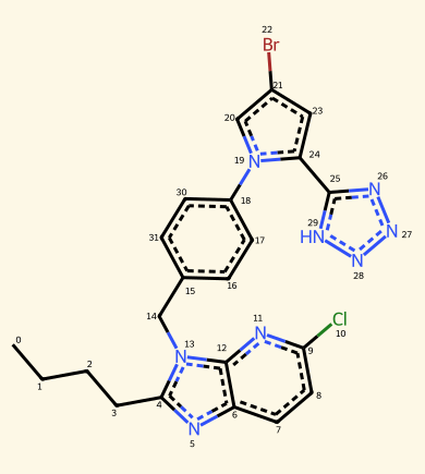 CCCCc1nc2ccc(Cl)nc2n1Cc1ccc(-n2cc(Br)cc2-c2nnn[nH]2)cc1